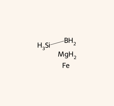 B[SiH3].[Fe].[MgH2]